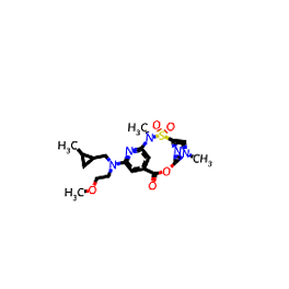 COCCN(CC1CC1C)c1cc2cc(n1)N(C)S(=O)(=O)c1cn(C)c(n1)OC2=O